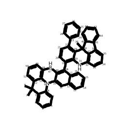 CC1(C)c2ccccc2N2c3cc4ccccc4c(-c4ccc(-c5ccccc5)c5c4Nc4cccc6c4C5(C)c4ccccc4-6)c3Bc3cccc1c32